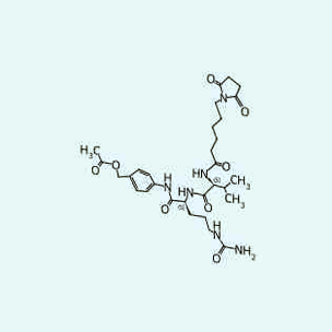 CC(=O)OCc1ccc(NC(=O)[C@H](CCCNC(N)=O)NC(=O)[C@@H](NC(=O)CCCCCN2C(=O)CCC2=O)C(C)C)cc1